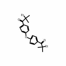 CCC(C)(C)C(=O)c1ccc(Oc2ccc(C(=O)C(C)(C)CC)cc2)cc1